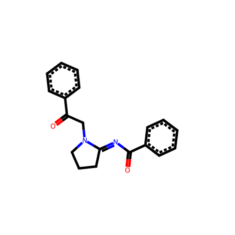 O=C(CN1CCC/C1=N\C(=O)c1ccccc1)c1ccccc1